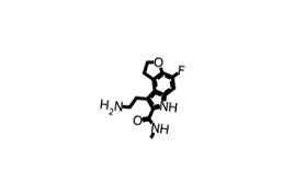 CNC(=O)c1[nH]c2cc(F)c3c(c2c1CCN)CCO3